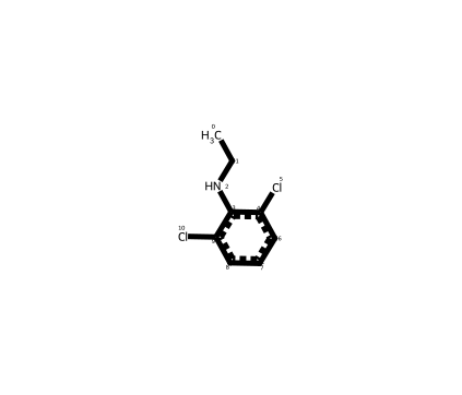 CCNc1c(Cl)c[c]cc1Cl